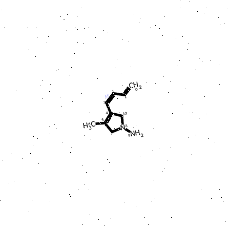 C=C/C=C\C1=C(C)CN(N)C1